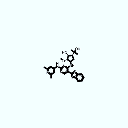 CO[C@H]1C(Nc2nc(Nc3cc(C)nc(C)c3)ncc2-c2nc3ccccc3s2)C[C@H](C(C)(C)O)[C@H]1O